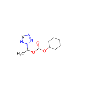 CC(OC(=O)OC1CCCCC1)n1n[c]nn1